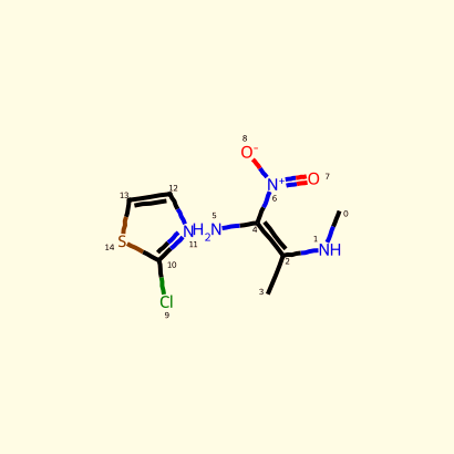 CNC(C)=C(N)[N+](=O)[O-].Clc1nccs1